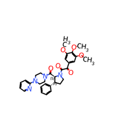 COc1cc(C(=O)C(=O)N2CC[C@H](c3ccccc3)[C@H]2C(=O)N2CCN(c3ccccn3)CC2)cc(OC)c1OC